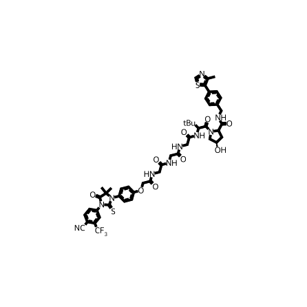 Cc1ncsc1-c1ccc(CNC(=O)C2C[C@@H](O)CN2C(=O)C(NC(=O)CNC(=O)CNC(=O)CNC(=O)COc2ccc(N3C(=S)N(c4ccc(C#N)c(C(F)(F)F)c4)C(=O)C3(C)C)cc2)C(C)(C)C)cc1